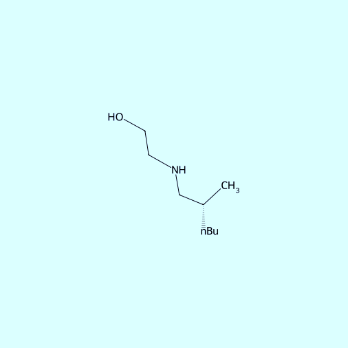 CCCC[C@@H](C)CNCCO